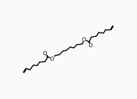 C=CCCCCCC(=O)OCCCCCCCCOC(=O)CCCCCC=C